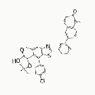 Cc1cc2nc(-c3ccnc(-c4ccc5c(ccc(=O)n5C)c4)c3)sc2c(-c2ccc(Cl)cc2)c1C(OC(C)(C)C)C(=O)O